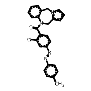 Cc1ccc(/N=N/c2ccc(C(=O)N3Cc4cccn4Cc4ccccc43)c(Cl)c2)cc1